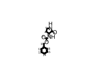 O=C(N[C@@H]1CCNC1=O)OCc1ccccc1